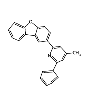 Cc1cc(-c2ccccc2)nc(-c2ccc3oc4ccccc4c3c2)c1